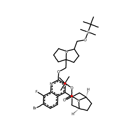 CC(C)(C)OC(=O)N1[C@@H]2CC[C@H]1CN(c1nc(OCC34CCCN3C(CO[Si](C)(C)C(C)(C)C)CC4)nc3c(F)c(Br)ccc13)C2